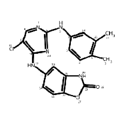 Cc1ccc(Nc2ncc(Cl)c(Nc3ccc4oc(=O)[nH]c4c3)n2)cc1C